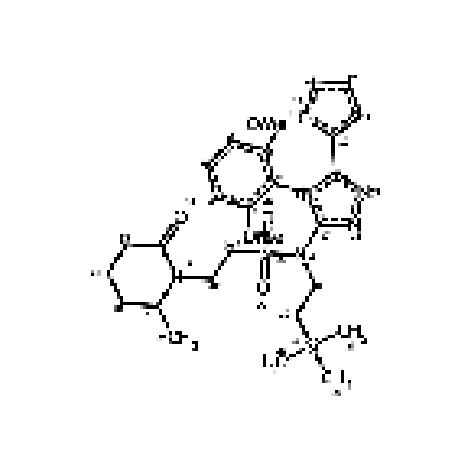 COc1cccc(OC)c1-n1c(-c2ccco2)nnc1N(CC[Si](C)(C)C)S(=O)(=O)CCN1C(=O)CCCC1C